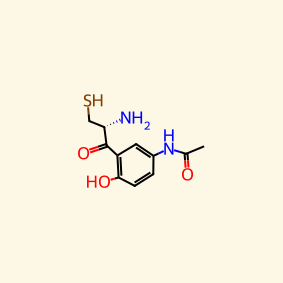 CC(=O)Nc1ccc(O)c(C(=O)[C@@H](N)CS)c1